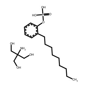 CCCCCCCCCc1ccccc1OP(=O)(O)O.NC(CO)(CO)CO